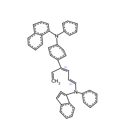 C=C/C(=C\C=C\N(C1=C=Cc2ccccc21)c1ccccc1)c1ccc(N(c2ccccc2)c2cccc3ccccc23)cc1